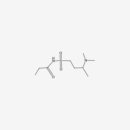 CCC(=O)NS(=O)(=O)CCC(C)N(C)C